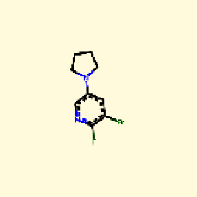 Fc1ncc(N2CCCC2)cc1Br